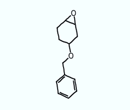 c1ccc(COC2CCC3OC3C2)cc1